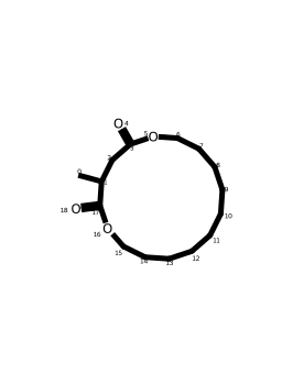 CC1CC(=O)OCCCCCCCCCCOC1=O